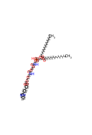 CCCCCCCCCCCCCCCCCC(=O)OCC(COP(=O)(O)OCCNC(=O)OCCOCC(=O)NCCOCCOCC1Oc2ccc(-c3ccc(-c4cnc5ccccc5n4)cc3)cc2O1)OC(=O)CCCCCCCCCCCCCCCCC